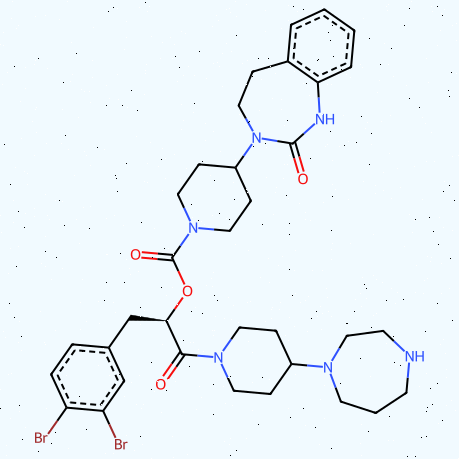 O=C(O[C@H](Cc1ccc(Br)c(Br)c1)C(=O)N1CCC(N2CCCNCC2)CC1)N1CCC(N2CCc3ccccc3NC2=O)CC1